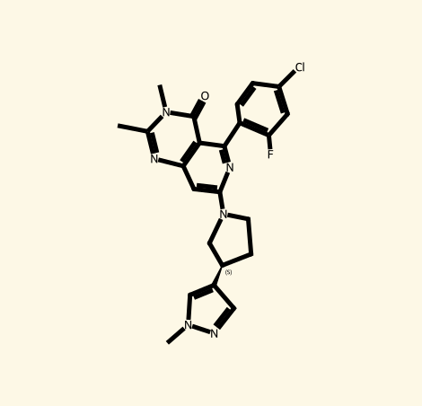 Cc1nc2cc(N3CC[C@@H](c4cnn(C)c4)C3)nc(-c3ccc(Cl)cc3F)c2c(=O)n1C